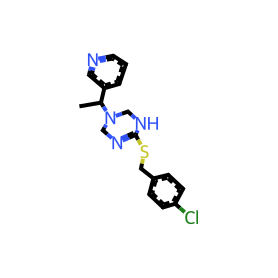 CC(c1cccnc1)N1CN=C(SCc2ccc(Cl)cc2)NC1